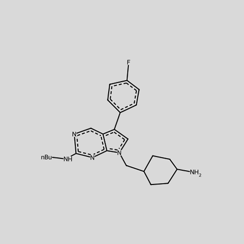 CCCCNc1ncc2c(-c3ccc(F)cc3)cn(CC3CCC(N)CC3)c2n1